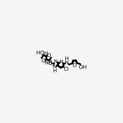 N[C@]12OC[C@@H](O)[C@H]1OC[C@H]2Oc1nc2nc(NCc3ccc(CO)o3)c(Cl)cc2[nH]1